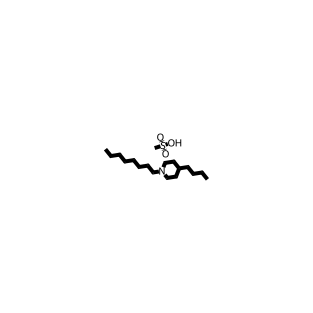 CCCCCCCCN1CCC(CCCC)CC1.CS(=O)(=O)O